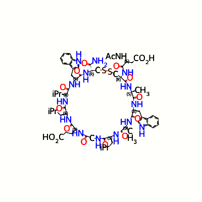 CC(=O)N[C@@H](CC(=O)O)C(=O)N[C@H]1CSSC[C@@H](C(N)=O)NC(=O)[C@H](Cc2c[nH]c3ccccc23)NC(=O)[C@H](C(C)C)NC(=O)[C@H](CC(C)C)NC(=O)[C@H](CCC(=O)O)NC(=O)CNC(=O)[C@H](CC(C)C)NC(=O)[C@H](C)NC(=O)[C@H](Cc2c[nH]c3ccccc23)NC(=O)[C@H](C)NC1=O